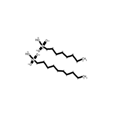 CCCCCCCCCCS(=O)(=O)O.CCCCCCCCS(=O)(=O)O